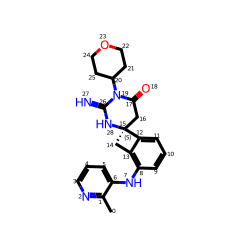 Cc1ncccc1Nc1cccc2c1C[C@]21CC(=O)N(C2CCOCC2)C(=N)N1